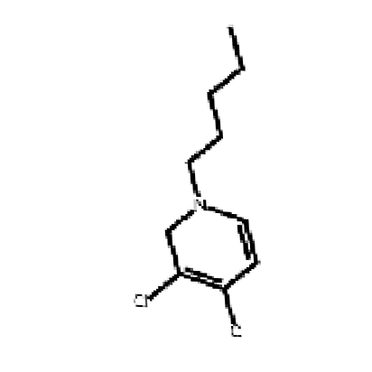 CCCCCN1C=CC(Cl)=C(Cl)C1